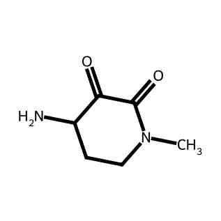 CN1CCC(N)C(=O)C1=O